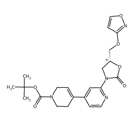 CC(C)(C)OC(=O)N1CC=C(c2ccnc(N3C[C@H](COc4ccon4)OC3=O)c2)CC1